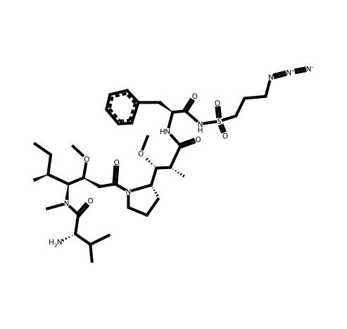 CC[C@H](C)[C@@H]([C@H](CC(=O)N1CCC[C@H]1[C@H](OC)[C@@H](C)C(=O)N[C@@H](Cc1ccccc1)C(=O)NS(=O)(=O)CCCN=[N+]=[N-])OC)N(C)C(=O)[C@@H](N)C(C)C